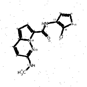 CNc1ccc2ccc(C(=O)Nc3ccsc3Cl)n2n1